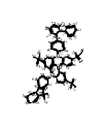 CC(C)(C)c1ccc2c(c1)B1c3ccc(C(C)(C)C)cc3N(c3ccc(-c4cccc5oc6ccccc6c45)cc3)c3cc(C(C)(C)C)cc(c31)N2c1ccc2c(c1)C(C)(C)c1ccccc1-2